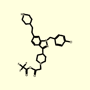 O=C(CN1CCC(c2nn(Cc3ccc(Cl)cc3)c3cc(CCC4CCNCC4)ccc23)CC1)OC(=O)C(F)(F)F